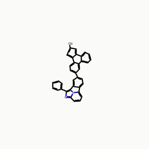 N#Cc1ccc2c3ccc(-c4ccc5c(c4)c4c(-c6ccccc6)nc6cccc5n64)cc3c3ccccc3c2c1